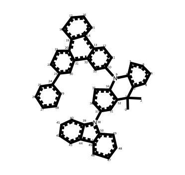 CC1(C)c2ccccc2N(c2ccc3c4ccccc4c4ccc(-c5ccccc5)cc4c3c2)c2ccc(-n3c4ccccc4c4ccccc43)cc21